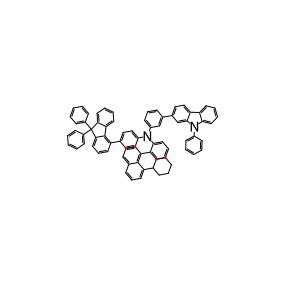 c1ccc(-n2c3ccccc3c3ccc(-c4cccc(N(c5ccc(-c6cccc7c6-c6ccccc6C7(c6ccccc6)c6ccccc6)cc5)c5ccccc5-c5cccc6cccc(C7CCCCC7)c56)c4)cc32)cc1